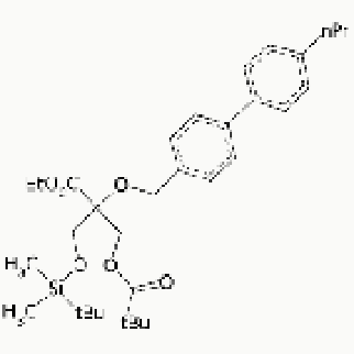 CCCc1ccc(-c2ccc(COC(COC(=O)C(C)(C)C)(CO[Si](C)(C)C(C)(C)C)C(=O)OCC)cc2)cc1